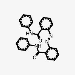 O=C(Nc1ccccc1)c1ccccc1N=Nc1ccccc1C(=O)Nc1ccccc1